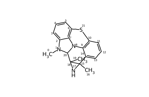 CN1c2cccc3c2N2c4c(cccc4C4(C)NC4(C)C12)S3